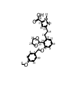 COc1ccc(COc2cccc(CCc3cc(C(=O)O)n(C)n3)c2C2OCCO2)cc1